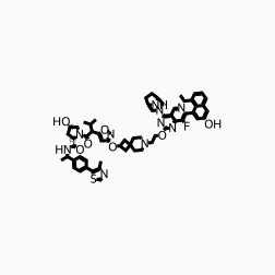 CCc1cccc2cc(O)cc(-c3ncc4c(N5CC6CCC(C5)N6)nc(OCCN5CCC6(CC5)CC(Oc5cc(C(C(=O)N7C[C@H](O)C[C@H]7C(=O)NC(C)c7ccc(-c8scnc8C)cc7)C(C)C)on5)C6)nc4c3F)c12